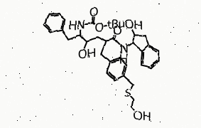 CC(C)(C)OC(=O)NC(Cc1ccccc1)C(O)CC(Cc1ccc(CSCCO)cc1)C(=O)NC1c2ccccc2CC1O